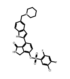 O=C1NCc2c(OS(=O)(=O)c3cc(Cl)c(F)cc3F)ccc(-c3cc4cc(CN5CCCCC5)ccc4[nH]3)c21